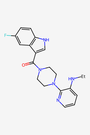 CCNc1cccnc1N1CCN(C(=O)c2c[nH]c3ccc(F)cc23)CC1